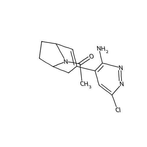 CC(=O)N1C2C=C(c3cc(Cl)nnc3N)CC1CC2